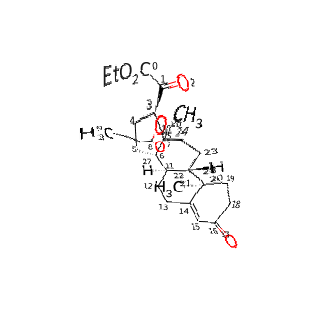 CCOC(=O)C(=O)[C@@]12CC[C@@]3(OC(C)O1)[C@@H]1CCC4=CC(=O)CC[C@]4(C)[C@H]1CC[C@]23C